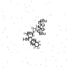 CC(C)(C)OC(=O)N(CC1CC(NCC(C(=N)C2CC2)c2cnc3ccccc3n2)C1)C(=O)OC(C)(C)C